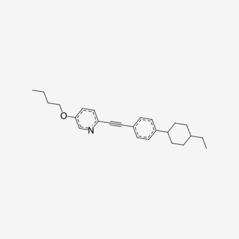 CCCCOc1ccc(C#Cc2ccc(C3CCC(CC)CC3)cc2)nc1